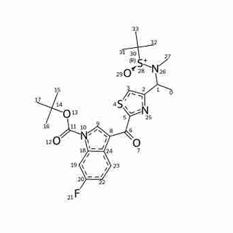 CC(c1csc(C(=O)c2cn(C(=O)OC(C)(C)C)c3cc(F)ccc23)n1)N(C)[S@@+]([O-])C(C)(C)C